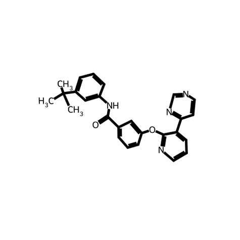 CC(C)(C)c1cccc(NC(=O)c2cccc(Oc3ncccc3-c3ccncn3)c2)c1